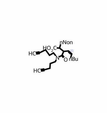 C#CCCCN(CCCC#C)C(=O)C(/C=C\CCCC)C(CCCCCCCCC)C(=O)O